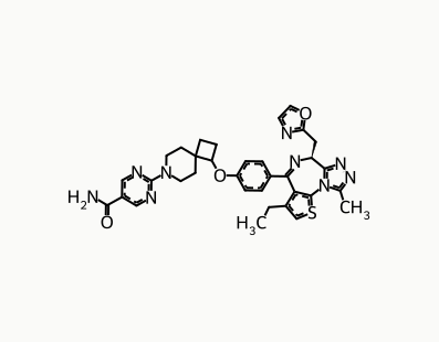 CCc1csc2c1C(c1ccc(OC3CCC34CCN(c3ncc(C(N)=O)cn3)CC4)cc1)=N[C@@H](Cc1ncco1)c1nnc(C)n1-2